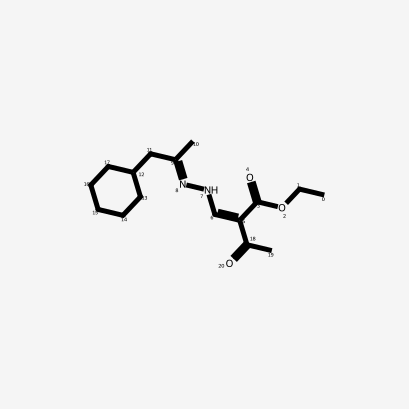 CCOC(=O)C(=CNN=C(C)CC1CCCCC1)C(C)=O